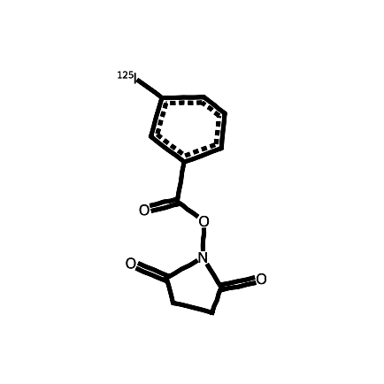 O=C(ON1C(=O)CCC1=O)c1cccc([125I])c1